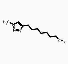 CCCCCCCCc1cn(C)nn1